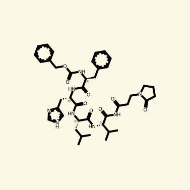 CC(C)C[C@H](NC(=O)[C@H](Cc1c[nH]cn1)NC(=O)[C@H](Cc1ccccc1)NC(=O)OCc1ccccc1)C(=O)N[C@H](C(=O)NC(=O)CCN1CCCC1=O)C(C)C